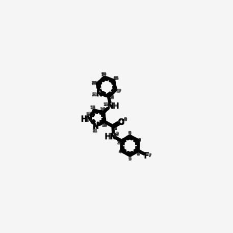 O=C(Nc1ccc(F)cc1)c1n[nH]cc1Nc1ccccn1